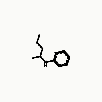 CCCC(C)Nc1[c]cccc1